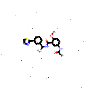 CC(C)Oc1ccc(NC(=O)C(C)C)cc1C(=O)NC(C)c1cccc(-c2nccs2)c1